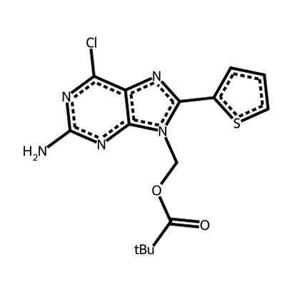 CC(C)(C)C(=O)OCn1c(-c2cccs2)nc2c(Cl)nc(N)nc21